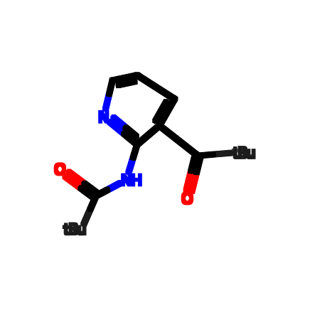 CC(C)(C)C(=O)Nc1ncccc1C(=O)C(C)(C)C